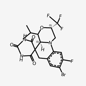 CC(C)C1O[C@H](C(F)(F)F)CN2c3cc(F)c(Br)cc3CC3(C(=O)NC(=O)NC3=O)[C@@H]12